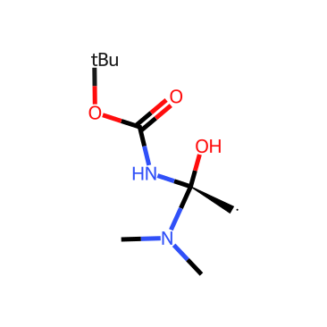 [CH2][C@](O)(NC(=O)OC(C)(C)C)N(C)C